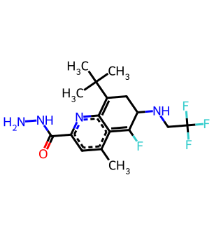 Cc1cc(C(=O)NN)nc2c1=C(F)C(NCC(F)(F)F)CC=2C(C)(C)C